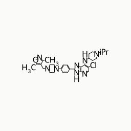 Cc1noc(C)c1CN1CCN(c2ccc(-c3nc4c(NC5CCN(C(C)C)CC5)c(Cl)cnc4[nH]3)cc2)CC1